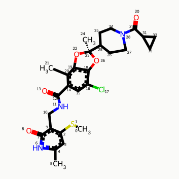 CSc1cc(C)[nH]c(=O)c1CNC(=O)c1cc(Cl)c2c(c1C)O[C@@](C)(C1CCN(C(=O)C3CC3)CC1)O2